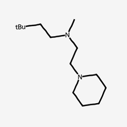 CN(CCN1CCCCC1)CCC(C)(C)C